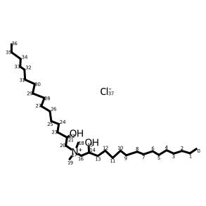 CCCCCCCCCCCCCCC(O)C[N+](C)(C)CC(O)CCCCCCCCCCCCCC.[Cl-]